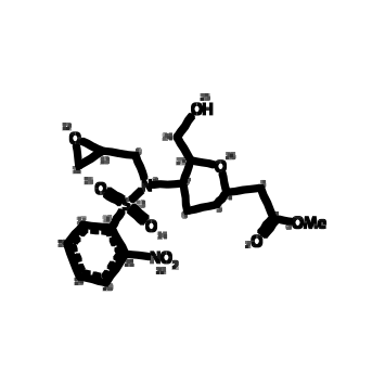 COC(=O)CC1CCC(N(CC2CO2)S(=O)(=O)c2ccccc2[N+](=O)[O-])C(CO)O1